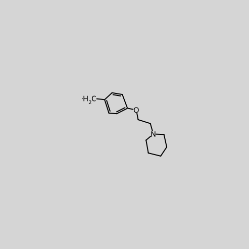 [CH2]c1ccc(OCCN2CCCCC2)cc1